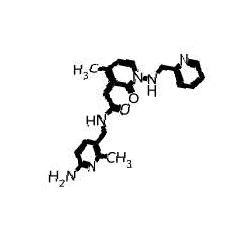 Cc1ccn(NCc2ccccn2)c(=O)c1CC(=O)NCc1ccc(N)nc1C